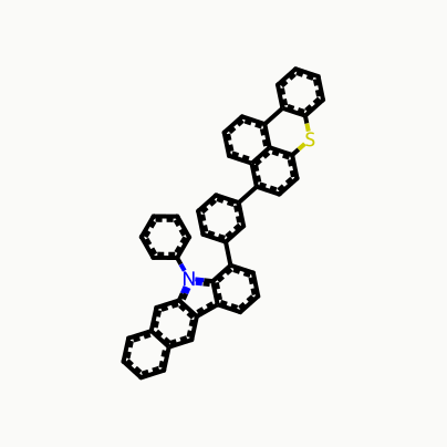 c1ccc(-n2c3cc4ccccc4cc3c3cccc(-c4cccc(-c5ccc6c7c(cccc57)-c5ccccc5S6)c4)c32)cc1